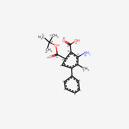 Cc1c(-c2ccccc2)cc(C(=O)OC(C)(C)C)c(C(=O)O)c1N